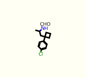 CC(CC1(c2ccc(Cl)cc2)CCC1)NC=O